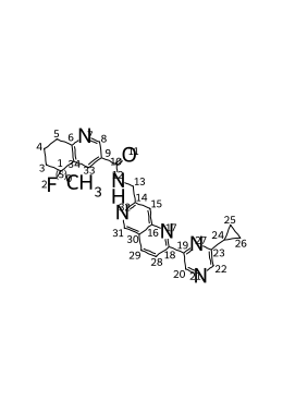 C[C@]1(F)CCCc2ncc(C(=O)NCc3cc4nc(-c5cncc(C6CC6)n5)ccc4cn3)cc21